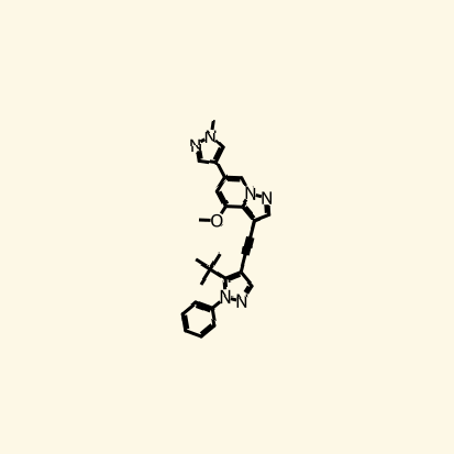 COc1cc(-c2cnn(C)c2)cn2ncc(C#Cc3cnn(-c4ccccc4)c3C(C)(C)C)c12